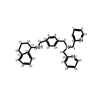 c1ccc(CN(Cc2ccc(CNC3CCCc4ccccc43)cc2)Cc2ccccn2)nc1